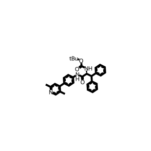 Cc1cc(-c2ccc(NC(=O)[C@@H](NC(=O)OC(C)(C)C)C(c3ccccc3)c3ccccc3)cc2)c(C)cn1